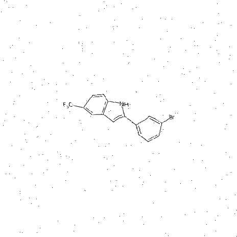 FC(F)(F)c1ccc2[nH]c(-c3cccc(Br)c3)cc2c1